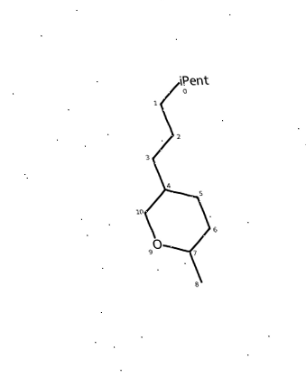 CCCC(C)CCCC1CCC(C)OC1